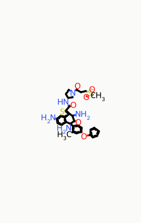 Cc1cc(Oc2ccccc2)ccc1C1(N)C(=O)C(N)c2c(C(=O)NC3CCN(C(=O)CCS(C)(=O)=O)C3)sc3c(N)ccc1c23